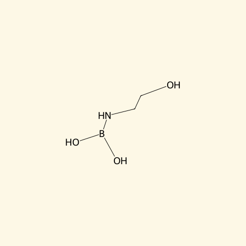 OCCNB(O)O